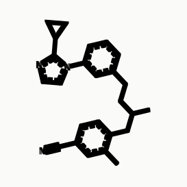 Cc1cc(C#N)ccc1CC(C)CCc1cccc(-n2ccnc2C2CC2)c1